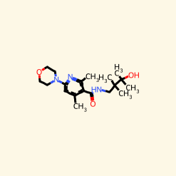 Cc1cc(N2CCOCC2)nc(C)c1C(=O)NCC(C)(C)C(C)(C)O